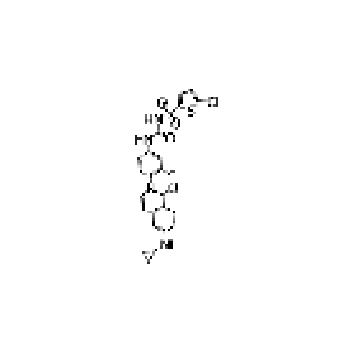 O=C(Nc1ccc(-n2ccc3cc(NC4CC4)ccc3c2=O)c(F)c1)NS(=O)(=O)c1ccc(Cl)s1